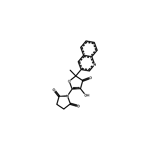 CC1(c2cnc3ccccc3c2)OC(N2C(=O)CCC2=O)=C(O)C1=O